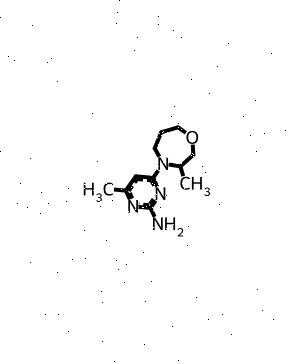 Cc1cc(N2CCCOCC2C)nc(N)n1